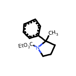 CCOC(=O)N1CCCC1(C)c1ccccc1